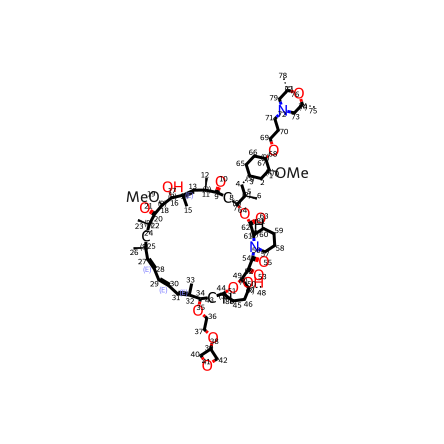 CO[C@@H]1C[C@H](C[C@@H](C)[C@@H]2CC(=O)[C@H](C)/C=C(\C)[C@@H](O)[C@@H](OC)C(=O)[C@H](C)C[C@H](C)/C=C/C=C/C=C(\C)C(OCCOC3COC3)C[C@@H]3CC[C@@H](C)[C@@](O)(O3)C(=O)C(=O)N3CCCC[C@H]3C(=O)O2)CC[C@H]1OCCCN1C[C@@H](C)O[C@@H](C)C1